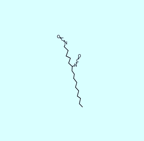 CCCCCCCCCCC(CCCCCN=C=O)N=C=O